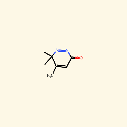 CC1(C)N=NC(=O)C=C1C(F)(F)F